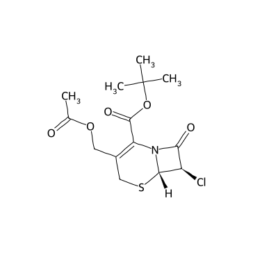 CC(=O)OCC1=C(C(=O)OC(C)(C)C)N2C(=O)[C@@H](Cl)[C@@H]2SC1